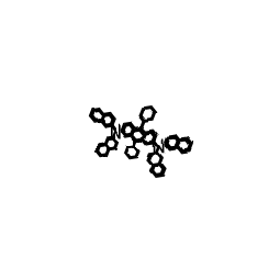 C1=CC(N(c2ccc3ccccc3c2)c2ccc3c(C4CCCCC4)c4ccc(N(c5ccc6ccccc6c5)c5ccc6ccccc6c5)cc4c(C4CCCCC4)c3c2)Cc2ccccc21